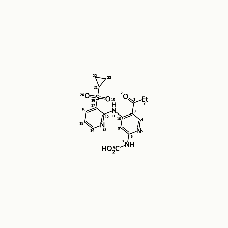 CCC(=O)c1cnc(NC(=O)O)cc1Nc1ncccc1S(=O)(=O)C1CC1